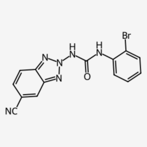 N#Cc1ccc2nn(NC(=O)Nc3ccccc3Br)nc2c1